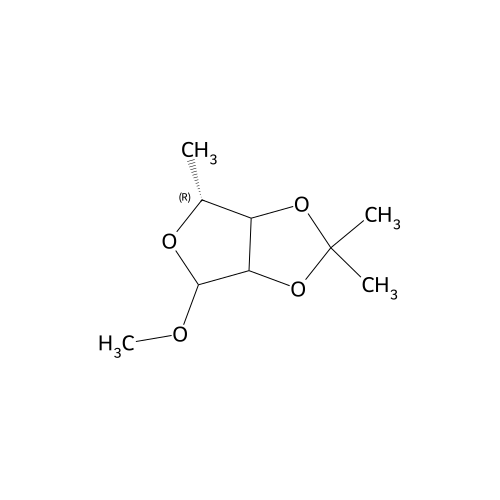 COC1O[C@H](C)C2OC(C)(C)OC12